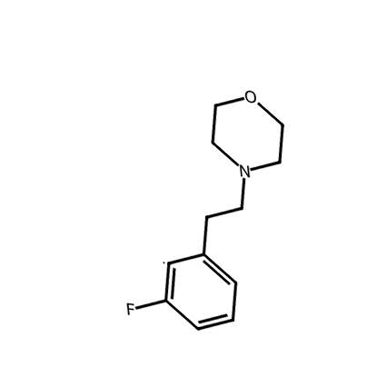 Fc1[c]c(CCN2CCOCC2)ccc1